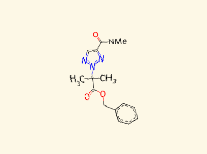 CNC(=O)c1cnn(C(C)(C)C(=O)OCc2ccccc2)n1